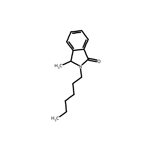 CCCCCCN1C(=O)c2ccccc2C1C